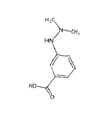 CN(C)Nc1cccc(C(=O)O)c1